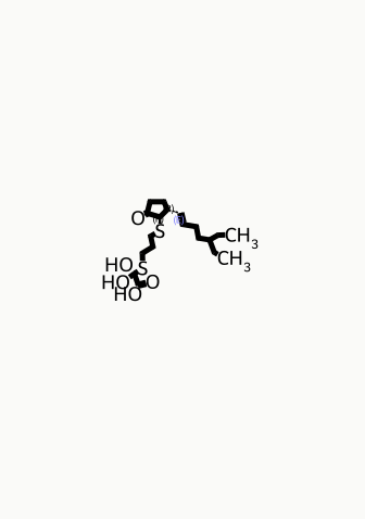 CCC(CC)CC/C=C/[C@H]1CCC(=O)[C@@H]1SCCCSC(O)(O)C(=O)O